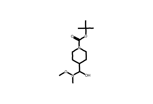 CON(C)C(O)C1CCN(C(=O)OC(C)(C)C)CC1